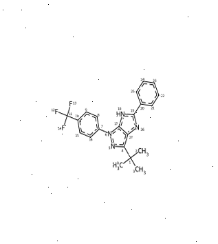 CC(C)(C)c1nn(-c2ccc(C(F)(F)F)cc2)c2[nH]c(-c3ccccc3)nc12